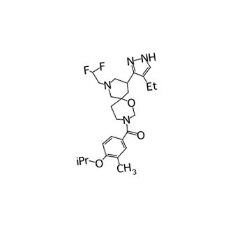 CCc1c[nH]nc1C1CN(CC(F)F)CC2(CCN(C(=O)c3ccc(OC(C)C)c(C)c3)CO2)C1